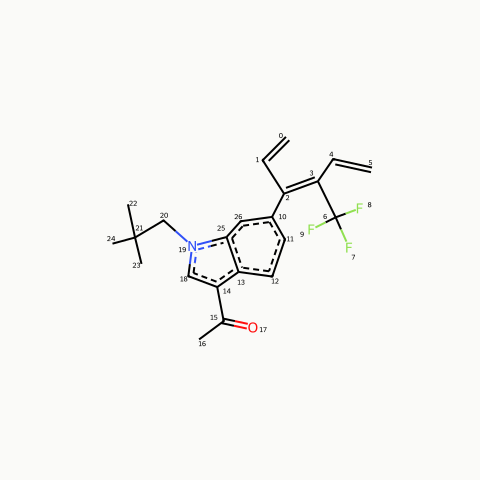 C=C/C(=C(\C=C)C(F)(F)F)c1ccc2c(C(C)=O)cn(CC(C)(C)C)c2c1